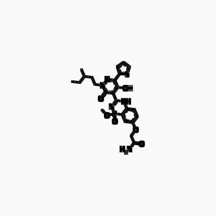 CCC(C)CCn1nc(-c2cccs2)c(O)c(C2=NP(=O)(OC)c3cc(OCC(N)=O)ccc3N2)c1=O